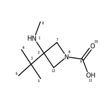 CNC1(C(C)(C)C)CN(C(=O)O)C1